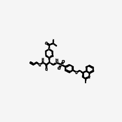 C=CCONC(=O)[C@H](CNS(=O)(=O)c1ccc(OCc2cc(C)nc3ccccc23)cc1)N1CCN(C(=O)C(C)C)CC1